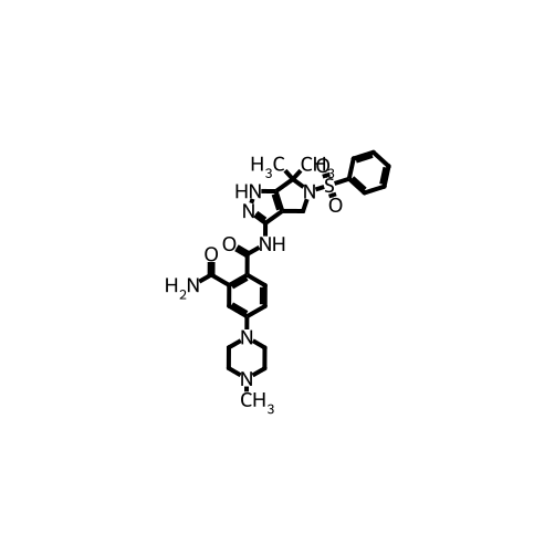 CN1CCN(c2ccc(C(=O)Nc3n[nH]c4c3CN(S(=O)(=O)c3ccccc3)C4(C)C)c(C(N)=O)c2)CC1